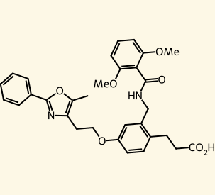 COc1cccc(OC)c1C(=O)NCc1cc(OCCc2nc(-c3ccccc3)oc2C)ccc1CCC(=O)O